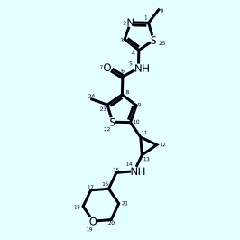 Cc1ncc(NC(=O)c2cc(C3CC3NCC3CCOCC3)sc2C)s1